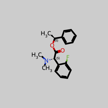 C[C@H](OC(=O)[C@H](c1ccccc1F)N(C)C)c1ccccc1